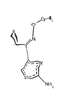 CO/N=C(\[C]=S)c1csc(N)n1